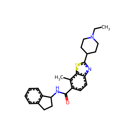 CCN1CCC(c2nc3ccc(C(=O)NC4CCc5ccccc54)c(C)c3s2)CC1